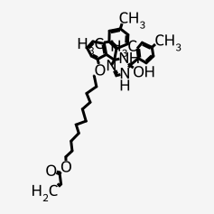 C=CC(=O)OCCCCCCCCCCCOc1ccccc1C1(c2ccc(C)cc2C)N=CNC(O)(c2ccc(C)cc2C)N1